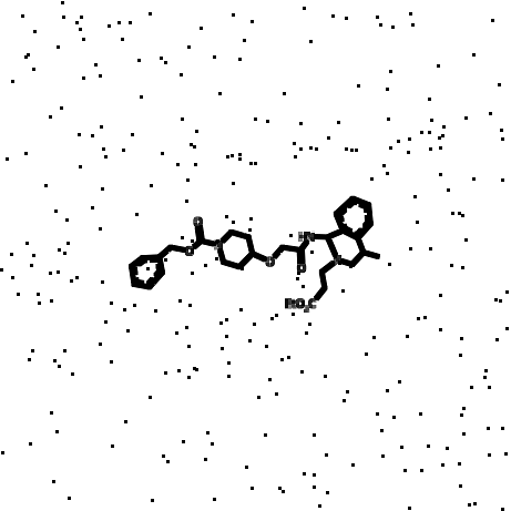 CCOC(=O)CCN1CC(C)c2ccccc2C1NC(=O)COC1CCN(C(=O)OCc2ccccc2)CC1